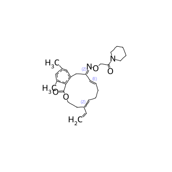 C=C/C1=C\CC/C=C/C(=N\OCC(=O)N2CCCCC2)Cc2cc(C)cc(C)c2C(=O)OCC1